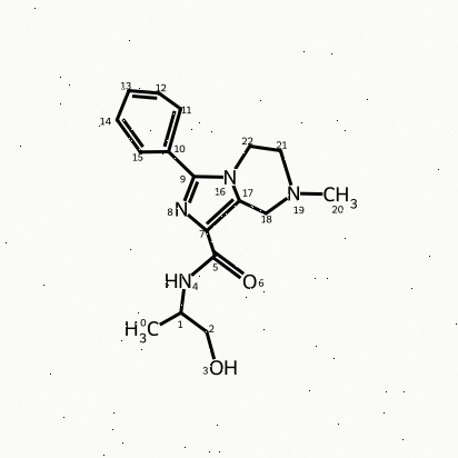 CC(CO)NC(=O)c1nc(-c2ccccc2)n2c1CN(C)CC2